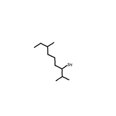 CCC(C)CCCC(S)C(C)C